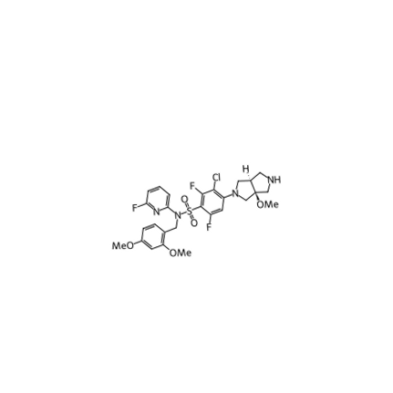 COc1ccc(CN(c2cccc(F)n2)S(=O)(=O)c2c(F)cc(N3C[C@H]4CNC[C@]4(OC)C3)c(Cl)c2F)c(OC)c1